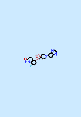 O=C1CCc2c(OCC3(O)CCN(c4ccc5nccnc5c4)CC3)ccc(F)c2N1